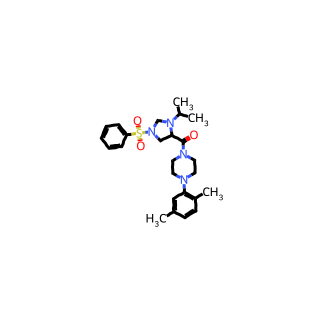 Cc1ccc(C)c(N2CCN(C(=O)C3CN(S(=O)(=O)c4ccccc4)CN3C(C)C)CC2)c1